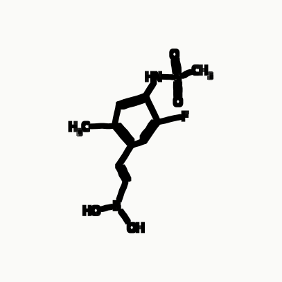 Cc1cc(NS(C)(=O)=O)c(F)cc1C=CB(O)O